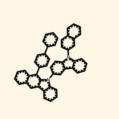 c1ccc(-c2ccc(-c3c4ccccc4cc4c5ccccc5n(-c5ccc6c(c5)c5ccccc5n6-c5ccc6ccccc6c5)c34)cc2)cc1